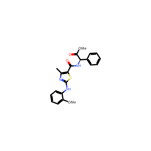 COC(=O)[C@H](NC(=O)c1sc(Nc2ccccc2OC)nc1C)c1ccccc1